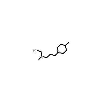 CC(C)CN(C)CCCN1CCC(C)CC1